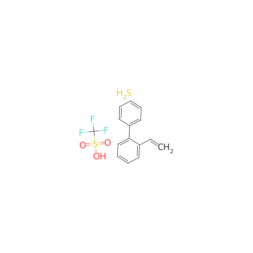 C=Cc1ccccc1-c1ccccc1.O=S(=O)(O)C(F)(F)F.S